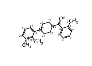 Cc1ccccc1C(=O)N1CCN(c2cccc(C)c2C)CC1